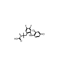 CN(C(=O)O)C(C)(C)Cc1cc(F)c(F)cc1Nc1ncc(Cl)cc1Cl